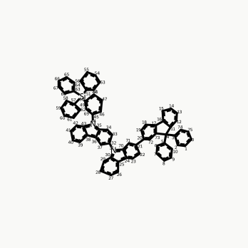 c1ccc(C2(c3ccccc3)c3ccccc3-c3ccc(-c4ccc5c6ccccc6n(-c6ccc7c(c6)c6ccccc6n7-c6cccc([Si](c7ccccc7)(c7ccccc7)c7ccccc7)c6)c5c4)cc32)cc1